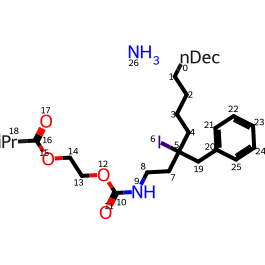 CCCCCCCCCCCCCCC(I)(CCNC(=O)OCCOC(=O)C(C)C)Cc1ccccc1.N